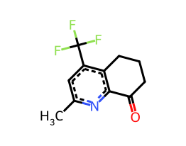 Cc1cc(C(F)(F)F)c2c(n1)C(=O)CCC2